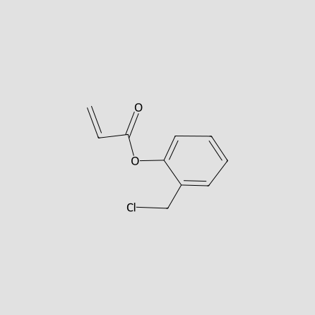 C=CC(=O)Oc1ccccc1CCl